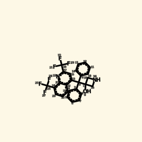 OC1(C(c2ccccc2)(c2ccccc2)c2cc(C(F)(F)F)nc3c(C(F)(F)F)cccc23)CNC1